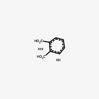 O=C(O)c1ccccc1C(=O)O.[HH].[KH]